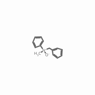 C[N+]([O-])(Cc1ccccc1)c1ccccc1